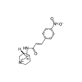 O=C(C=Cc1ccc([N+](=O)[O-])cc1)N[C@H]1CN2CCC1CC2